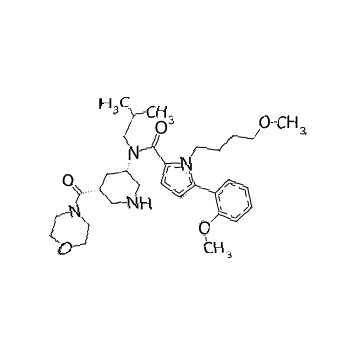 COCCCCn1c(C(=O)N(CC(C)C)[C@@H]2CNC[C@H](C(=O)N3CCOCC3)C2)ccc1-c1ccccc1OC